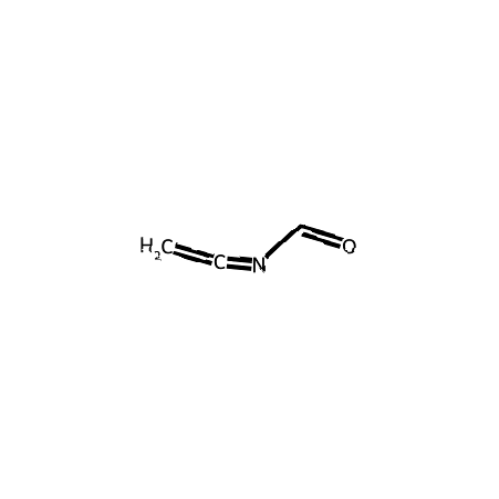 C=C=NC=O